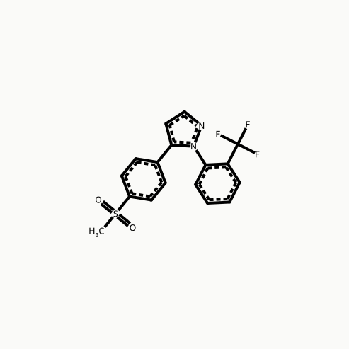 CS(=O)(=O)c1ccc(-c2ccnn2-c2ccccc2C(F)(F)F)cc1